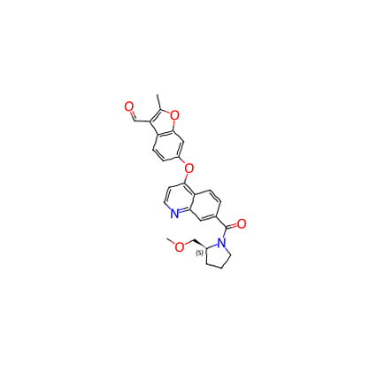 COC[C@@H]1CCCN1C(=O)c1ccc2c(Oc3ccc4c(C=O)c(C)oc4c3)ccnc2c1